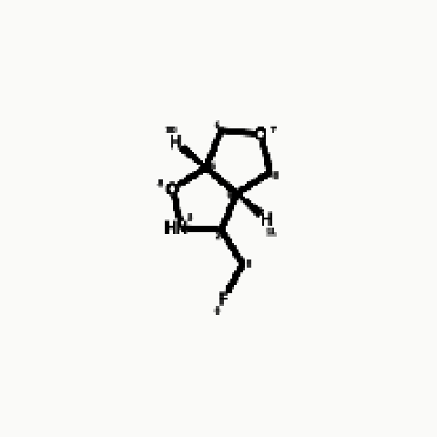 FCC1NO[C@@H]2COC[C@H]12